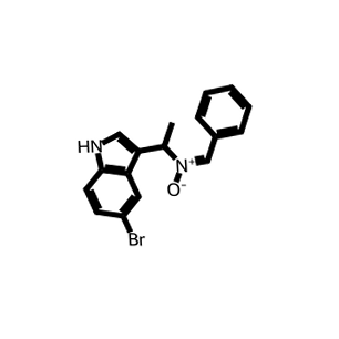 CC(c1c[nH]c2ccc(Br)cc12)/[N+]([O-])=C\c1ccccc1